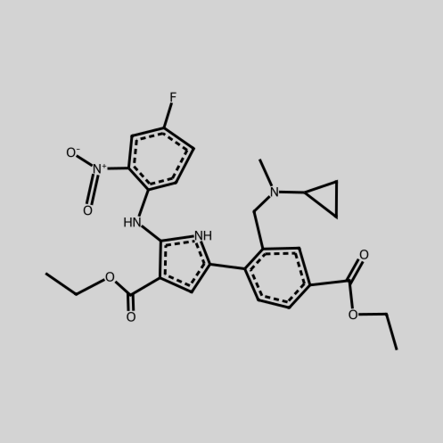 CCOC(=O)c1ccc(-c2cc(C(=O)OCC)c(Nc3ccc(F)cc3[N+](=O)[O-])[nH]2)c(CN(C)C2CC2)c1